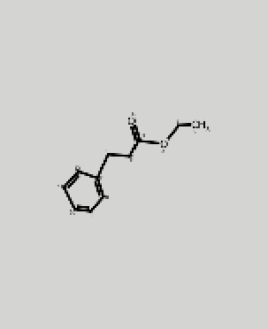 CCOC(=O)[CH]Cc1ccccc1